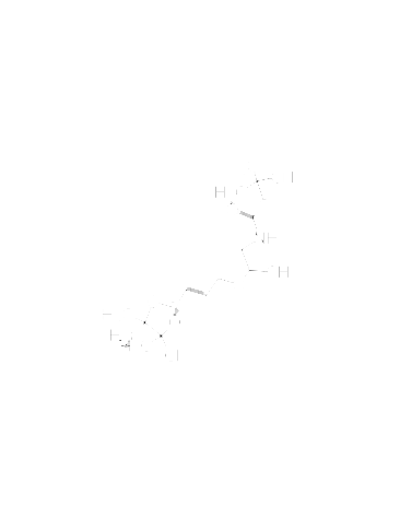 CC(CNC(=O)OC(C)(C)C)OC/C=C/B1OC(C)(C)C(C)(C)O1